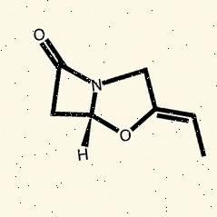 CC=C1CN2C(=O)C[C@H]2O1